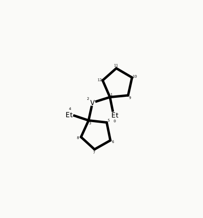 CC[C]1([V][C]2(CC)CCCC2)CCCC1